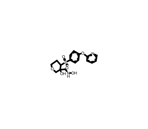 O=C(NO)C1(O)COCCC1S(=O)(=O)c1ccc(Oc2ccccn2)cc1